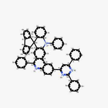 c1ccc(-c2cc(-c3ccc4nc(-c5ccccc5)c5cc6c(cc5c4c3)N(c3ccccc3)c3ccccc3C63c4ccccc4-c4ccccc43)nc(-c3ccccc3)n2)cc1